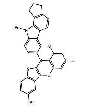 Cc1cc2c3c(c1)Oc1c(ccc4c1c1ccc5c(c1n4C(C)(C)C)CCC5)B3c1sc3ccc(C(C)(C)C)cc3c1O2